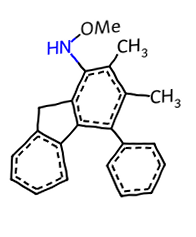 CONc1c(C)c(C)c(-c2ccccc2)c2c1Cc1ccccc1-2